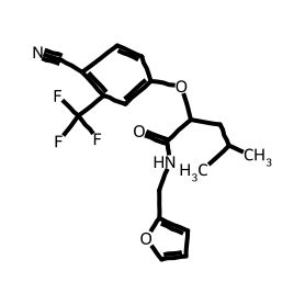 CC(C)CC(Oc1ccc(C#N)c(C(F)(F)F)c1)C(=O)NCc1ccco1